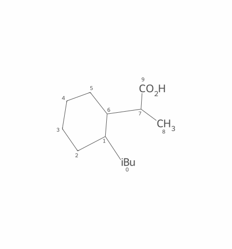 CCC(C)C1CCCCC1C(C)C(=O)O